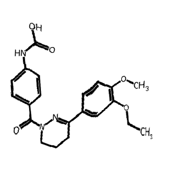 CCOc1cc(C2=NN(C(=O)c3ccc(NC(=O)O)cc3)CCC2)ccc1OC